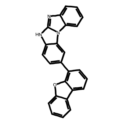 c1ccc2c(c1)nc1[nH]c3ccc(-c4cccc5c4oc4ccccc45)cc3n12